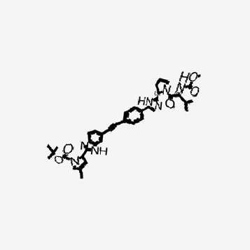 COC(=O)N[C@H](C(=O)N1CCC[C@H]1c1ncc(-c2ccc(C#Cc3ccc4nc(C5C=C(C)CN5C(=O)OC(C)(C)C)[nH]c4c3)cc2)[nH]1)C(C)C